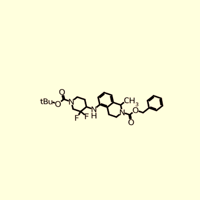 CC1c2cccc(NC3CCN(C(=O)OC(C)(C)C)CC3(F)F)c2CCN1C(=O)OCc1ccccc1